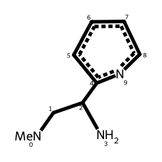 CNCC(N)c1ccccn1